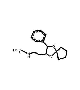 O=S(=O)(O)NCCC1OC2(CCCC2)OC1c1ccccc1